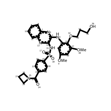 COc1cc(Nc2nc3ccccc3nc2NS(=O)(=O)c2ccc(C(=O)N3CCC3)cc2)c(OCCCO)c(OC)c1